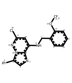 CC(C)c1cnc2c(NCc3ccccc3OC(F)(F)F)cc(Cl)nn12